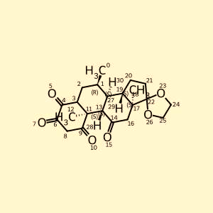 C[C@@H]1CC2C(=O)C(=O)CC(=O)[C@]2(C)[C@H]2C(=O)C[C@@]3(C)[C@@H](CCC34OCCO4)[C@H]12